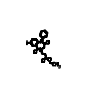 CCOC(=O)CCN1CC(=O)N(c2ccccc2)c2ccc(I)cc2C1=O